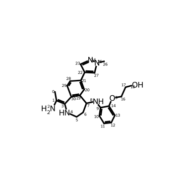 C/C(N)=C1/NCCC(Nc2ccccc2OCCO)c2cc(-c3cnn(C)c3)ccc21